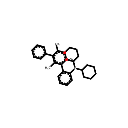 Cc1cc(C)c(-c2ccccc2P(C2CCCCC2)C2CCCCC2)c(C)c1-c1ccccc1